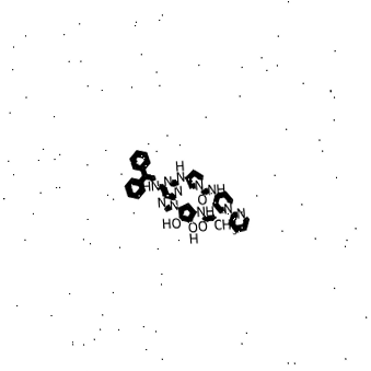 CCC(=O)N[C@H]1C[C@@H](n2cnc3c(NCC(c4ccccc4)c4ccccc4)nc(N[C@@H]4CCN(C(=O)NC5CCN(c6ccccn6)CC5)C4)nc32)C(O)C1O